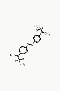 CN(c1ccc(SSc2ccc(N(C)S(C)(=O)=O)cc2)cc1)S(C)(=O)=O